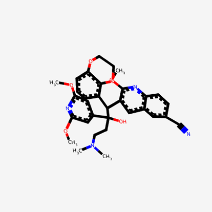 COc1cc(C(O)(CCN(C)C)C(c2cc3cc(C#N)ccc3nc2OC)c2cccc3c2OCCO3)cc(OC)n1